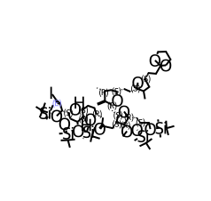 C=C1[C@H](C)C[C@H](CC[C@@H]2O[C@@H](CCC3OCCCO3)CC2C)O[C@@H]1C[C@@H]1O[C@H](C[C@@H](CO[Si](C)(C)C(C)(C)C)O[Si](C)(C)C(C)(C)C)[C@H](OC)[C@H]1CC(=O)C[C@H]1CC[C@@H]2O[C@@H](C(/C=C/I)O[Si](C)(C)C(C)(C)C)C(O[Si](C)(C)C(C)(C)C)C(O[Si](C)(C)C(C)(C)C)[C@H]2O1